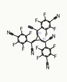 C#C/C(=C1\C(=C(C#N)c2c(F)c(F)c(C#N)c(F)c2F)\C1=C(\C#N)c1c(F)c(F)c(C#N)c(F)c1F)c1c(F)c(F)c(C#N)c(F)c1F